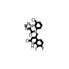 O=C(c1nnn[nH]1)N(Cc1cc(=O)[nH]c2c(F)c(F)ccc12)c1cccc(Cl)c1